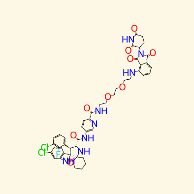 O=C1CCC(N2C(=O)c3cccc(NCCOCCOCCNC(=O)c4ccc(NC(=O)[C@@H]5NC6(CCCCC6)[C@@]6(C(=O)Nc7cc(Cl)ccc76)[C@H]5c5cccc(Cl)c5F)cn4)c3C2=O)C(=O)N1